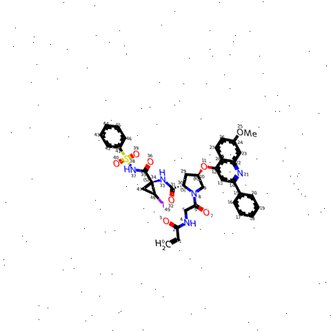 C=CC(=O)NCC(=O)N1C[C@H](Oc2cc(-c3ccccc3)nc3cc(OC)ccc23)C[C@H]1C(=O)N[C@]1(C(=O)NS(=O)(=O)c2ccccc2)CC1I